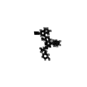 CC1CCCN(CC2(COc3nc(N4CC5CCC(C4)N5)c4ccc(-c5cc(O)cc6ccccc56)c(F)c4n3)CC2)C1